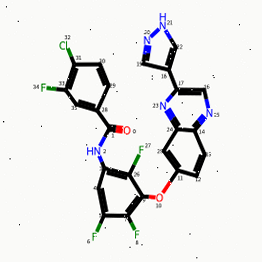 O=C(Nc1cc(F)c(F)c(Oc2ccc3ncc(-c4cn[nH]c4)nc3c2)c1F)c1ccc(Cl)c(F)c1